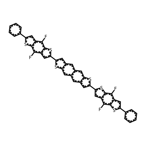 Fc1c2cc(-c3cc4cc5cc6sc(-c7cc8c(F)c9sc(-c%10ccccc%10)cc9c(F)c8s7)cc6cc5cc4s3)sc2c(F)c2cc(-c3ccccc3)sc12